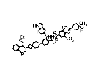 CCOC[C@H](NC1CC2(CCN(c3ccc(C(=O)NS(=O)(=O)c4cc5c(c([N+](=O)[O-])c4)S[C@@H]([C@H]4CC[C@](C)(O)CC4)CO5)c(Oc4cnc5[nH]ccc5c4)c3)CC2)C1)c1ccccc1C1CC1